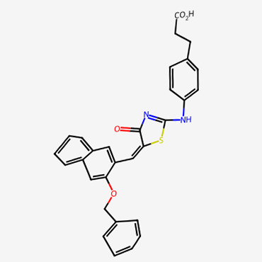 O=C(O)CCc1ccc(NC2=NC(=O)/C(=C\c3cc4ccccc4cc3OCc3ccccc3)S2)cc1